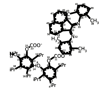 CC(C)c1cc(C(C)C)c(C(C)C)c(O)c1OC(=O)[O-].CC(C)c1cc(C(C)C)c(C(C)C)c(O)c1OC(=O)[O-].Cc1cccc(C)c1N=C1C(=Nc2c(C)cccc2C)c2cccc3cccc1c23.[Ni+2]